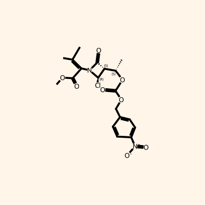 COC(=O)C(=C(C)C)N1C(=O)[C@H]([C@H](C)OC(=O)OCc2ccc([N+](=O)[O-])cc2)[C@H]1Cl